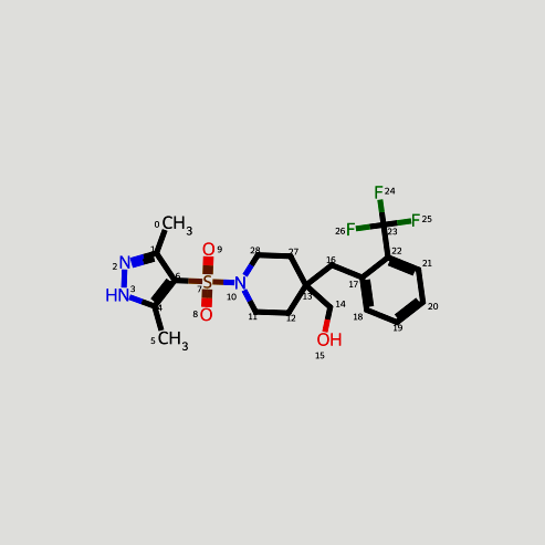 Cc1n[nH]c(C)c1S(=O)(=O)N1CCC(CO)(Cc2ccccc2C(F)(F)F)CC1